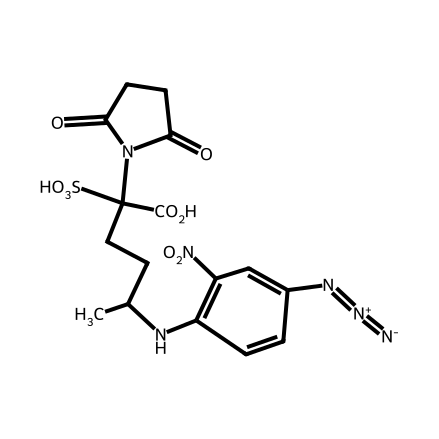 CC(CCC(C(=O)O)(N1C(=O)CCC1=O)S(=O)(=O)O)Nc1ccc(N=[N+]=[N-])cc1[N+](=O)[O-]